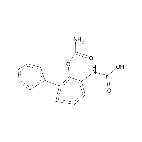 NC(=O)Oc1c(NC(=O)O)cccc1-c1ccccc1